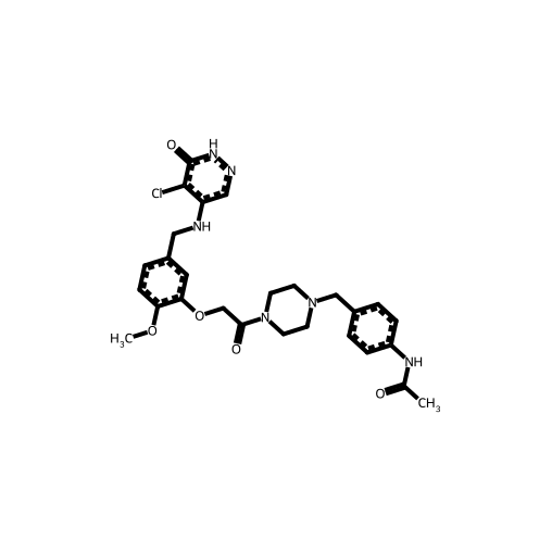 COc1ccc(CNc2cn[nH]c(=O)c2Cl)cc1OCC(=O)N1CCN(Cc2ccc(NC(C)=O)cc2)CC1